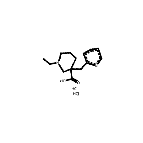 CCN1CCCC(Cc2ccccn2)(C(=O)O)C1.Cl.Cl